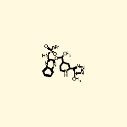 CCCS(=O)(=O)Nc1nc2ccccc2nc1OC(C1CCNC(c2nnnn2C)C1)C(F)(F)F